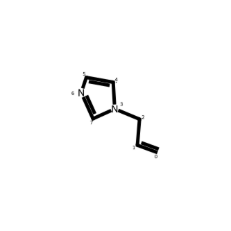 C=CCn1[c]cnc1